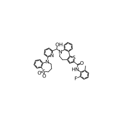 Cc1cccc(F)c1NC(=O)c1cc2c(s1)-c1ccccc1N(C(O)c1cccc(N3CCCS(=O)(=O)c4ccccc43)n1)CC2